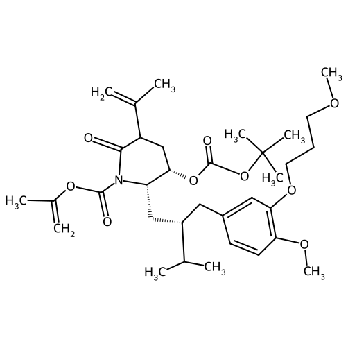 C=C(C)OC(=O)N1C(=O)C(C(=C)C)C[C@H](OC(=O)OC(C)(C)C)[C@@H]1C[C@H](Cc1ccc(OC)c(OCCCOC)c1)C(C)C